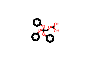 OC(O)OCC(Oc1ccccc1)(Oc1ccccc1)Oc1ccccc1